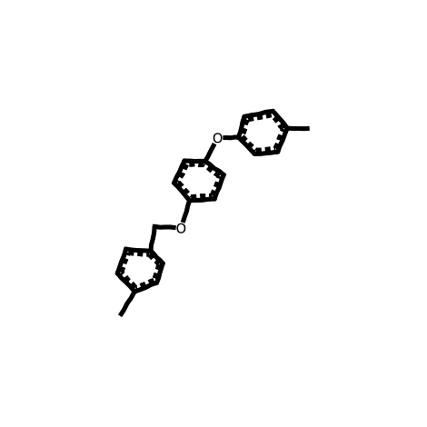 Cc1ccc(COc2ccc(Oc3ccc(C)cc3)cc2)cc1